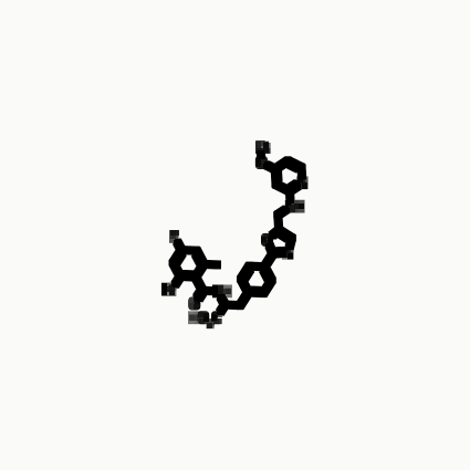 CCOc1ccnc(NCc2cnc(-c3ccc(CC(NC(=O)c4c(C)cc(F)cc4CC)C(=O)O)cc3)o2)c1